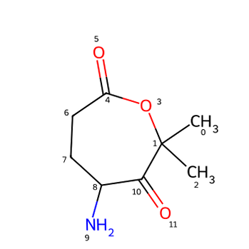 CC1(C)OC(=O)CCC(N)C1=O